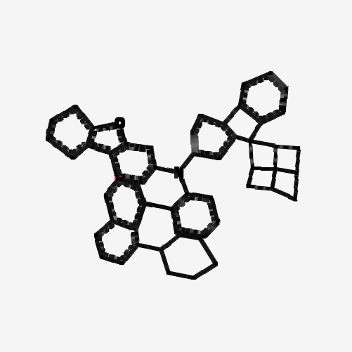 c1ccc(N(c2ccc3c(c2)C2(c4ccccc4-3)C3CC4CC5CC2C453)c2ccc3c(c2)oc2ccccc23)c(-c2cccc3cccc(C4CCCCC4)c23)c1